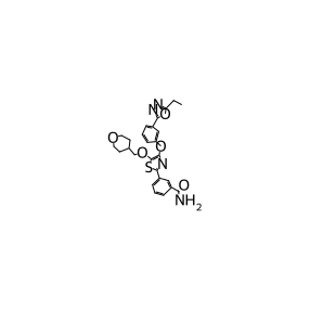 CCc1nnc(-c2cccc(Oc3nc(-c4cccc(C(N)=O)c4)sc3OCC3CCOCC3)c2)o1